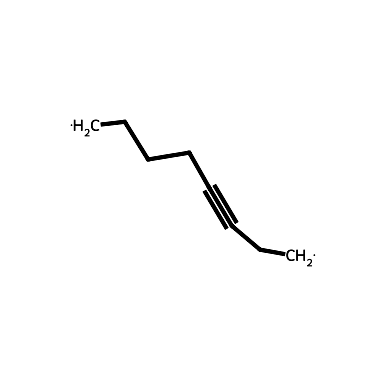 [CH2]CC#CCCC[CH2]